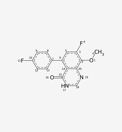 COc1c(F)cc(-c2ccc(F)cc2)c2c(=O)[nH]cnc12